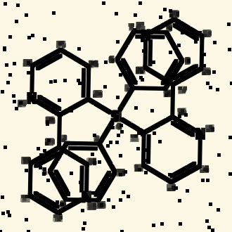 c1ccc([Si](c2ccccc2)(c2cccnc2-c2cccnc2)c2cccnc2-c2cccnc2)cc1